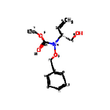 C=C[C@H](CO)N(OCc1ccccc1)C(=O)OC(C)(C)C